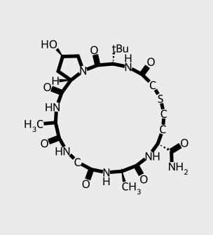 CC1NC(=O)[C@@H]2C[C@@H](O)CN2C(=O)[C@H](C(C)(C)C)NC(=O)CSCC[C@H](C(N)=O)NC(=O)[C@@H](C)NC(=O)CNC1=O